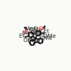 C=COc1c(OC)c(OC)c(C2(c3c(OC)c(OC)c(OC=C)c(C(CC)OC)c3OC)c3ccccc3-c3ccccc32)c(OC)c1C(CC)OC